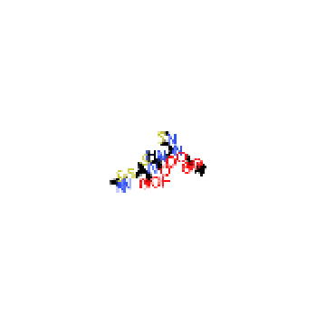 Cc1nnc(SCC2=C(C(=O)O)N3C(=O)C(NC(=O)/C(=N\OCC(=O)OC(C)(C)C)c4cscn4)[C@H]3SC2)s1